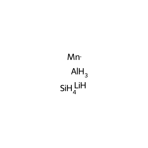 [AlH3].[LiH].[Mn].[SiH4]